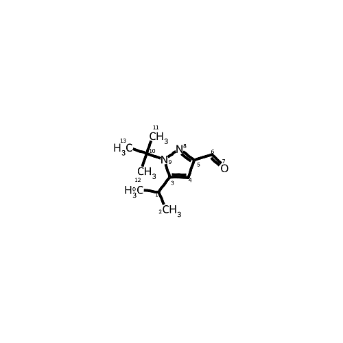 CC(C)c1cc(C=O)nn1C(C)(C)C